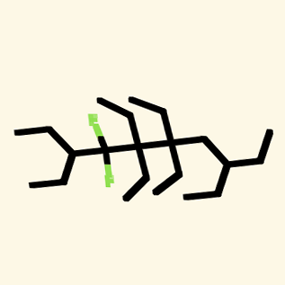 CCC(CC)CC(CC)(CC)C(CC)(CC)C(F)(F)C(CC)CC